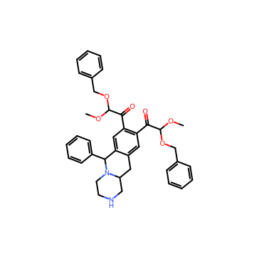 COC(OCc1ccccc1)C(=O)c1cc2c(cc1C(=O)C(OC)OCc1ccccc1)C(c1ccccc1)N1CCNCC1C2